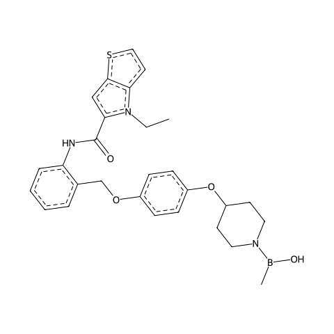 CCn1c(C(=O)Nc2ccccc2COc2ccc(OC3CCN(B(C)O)CC3)cc2)cc2sccc21